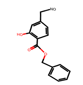 O=NCc1ccc(C(=O)OCc2ccccc2)c(O)c1